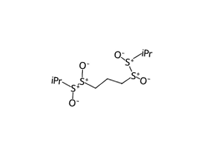 CC(C)[S+]([O-])[S+]([O-])CCC[S+]([O-])[S+]([O-])C(C)C